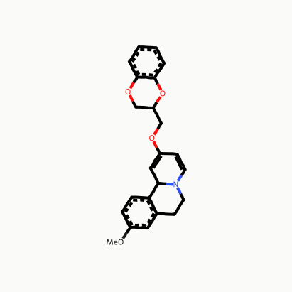 COc1ccc2c(c1)CCN1C=CC(OCC3COc4ccccc4O3)=CC21